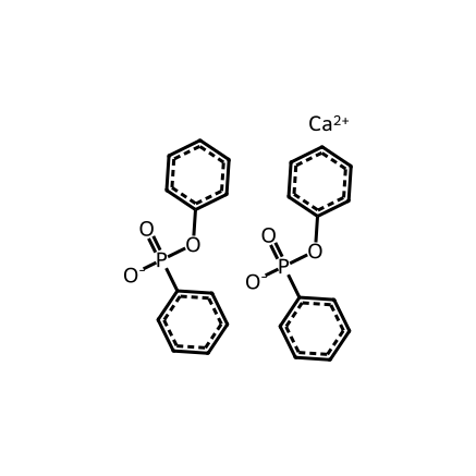 O=P([O-])(Oc1ccccc1)c1ccccc1.O=P([O-])(Oc1ccccc1)c1ccccc1.[Ca+2]